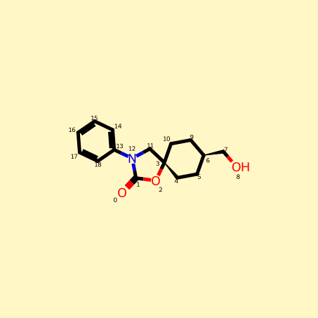 O=C1O[C@]2(CC[C@H](CO)CC2)CN1c1ccccc1